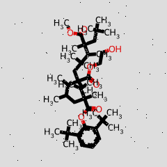 COC(=O)C(C)(CC(C)(C)C)C(C)C(C)(C)CC(C)(C(=O)OCCO)C(C)C(C)CC(C)(C(=O)Oc1c(C(C)(C)C)cccc1C(C)(C)C)C(C)C